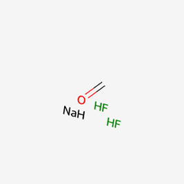 C=O.F.F.[NaH]